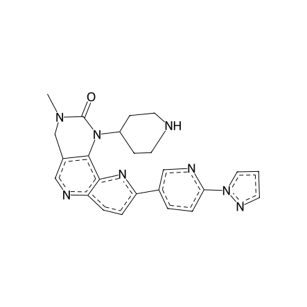 CN1Cc2cnc3ccc(-c4ccc(-n5cccn5)nc4)nc3c2N(C2CCNCC2)C1=O